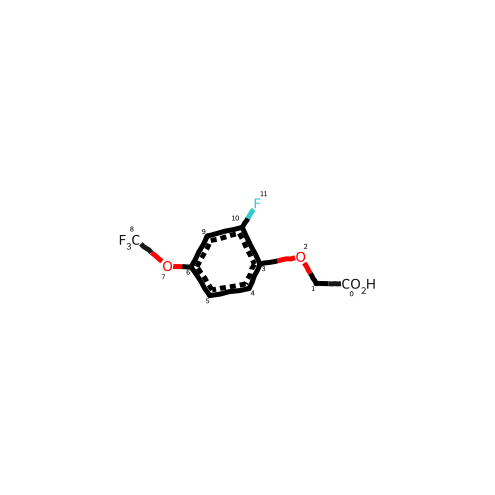 O=C(O)COc1ccc(OC(F)(F)F)cc1F